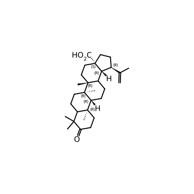 C=C(C)[C@@H]1CC[C@]2(C(=O)O)CC[C@]3(C)C(CC[C@@H]4[C@@]5(C)CCC(=O)C(C)(C)C5CC[C@]43C)[C@@H]12